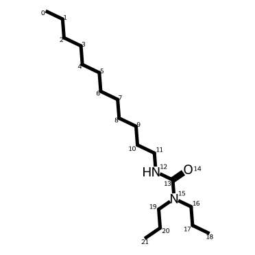 CCCCCCCCCCCCNC(=O)N(CCC)CCC